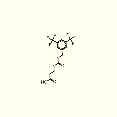 O=C(O)CCNC(=O)NCc1cc(C(F)(F)F)cc(C(F)(F)F)c1